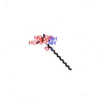 CCCCCCCCCCCCC/C=C/[C@H](OC)[C@H](COC(OC(O)CO)C(O)C(C)O)NC(=O)NC